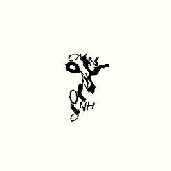 Cc1cc(C2C=CN(CC3CNC(=O)CO3)N2c2cccc(C#N)c2)cc(C)n1